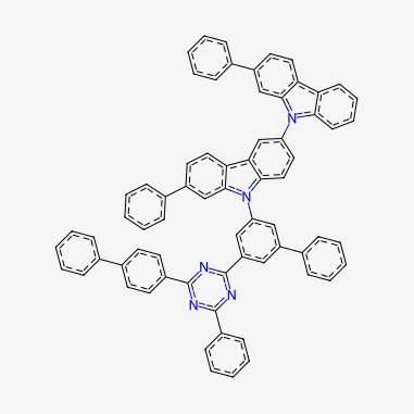 c1ccc(-c2ccc(-c3nc(-c4ccccc4)nc(-c4cc(-c5ccccc5)cc(-n5c6ccc(-n7c8ccccc8c8ccc(-c9ccccc9)cc87)cc6c6ccc(-c7ccccc7)cc65)c4)n3)cc2)cc1